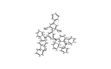 N#Cc1cc(-c2ccccc2)cc(C#N)c1-c1cc(-n2c3ccccc3c3cc4c(cc32)oc2ccccc24)cc(-n2c3ccccc3c3c2ccc2c4ccccc4n(-c4ccccc4)c23)c1